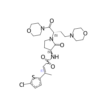 C/C(=C\S(=O)(=O)N[C@H]1CCN([C@@H](CCN2CCOCC2)C(=O)N2CCOCC2)C1=O)c1ccc(Cl)s1